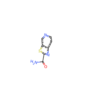 NC(=O)c1nc2ccncc2s1